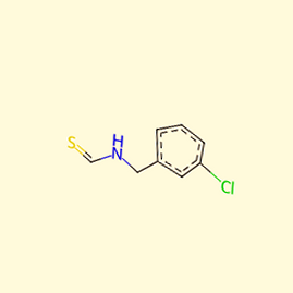 S=CNCc1cccc(Cl)c1